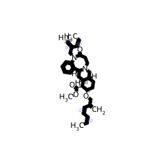 C=C(/C=C\C=C/C)CO[C@H]1CC[C@H]2CN3CCC(=O)N(CC(/C=C\C)=C/C)c4ccccc4[C@@H]3C[C@@H]2[C@H]1C(=O)OC